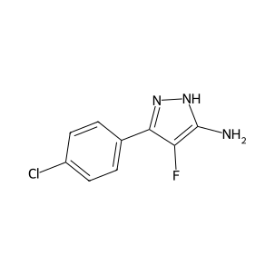 Nc1[nH]nc(-c2ccc(Cl)cc2)c1F